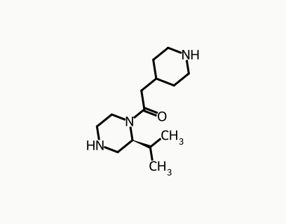 CC(C)[C@H]1CNCCN1C(=O)CC1CCNCC1